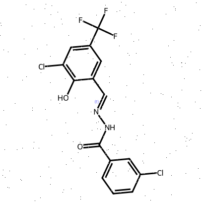 O=C(N/N=C/c1cc(C(F)(F)F)cc(Cl)c1O)c1cccc(Cl)c1